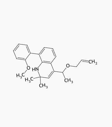 C=CCOC(C)C1=CC(C)(C)Nc2c1cccc2-c1ccccc1OC